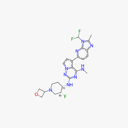 CNc1nc(N[C@H]2CCN(C3COC3)C[C@H]2F)nn2ccc(-c3ccc4nc(C)n(C(F)F)c4n3)c12